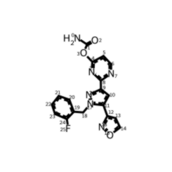 NC(=O)Oc1ccnc(-c2cc(-c3ccon3)n(Cc3ccccc3F)n2)n1